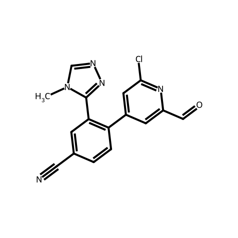 Cn1cnnc1-c1cc(C#N)ccc1-c1cc(Cl)nc(C=O)c1